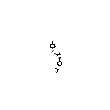 CNCc1ccc(C(=N)OC(=N)c2nc(-c3ccc(SC4CCOC4)cc3)cnc2C)cc1